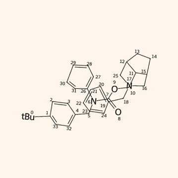 CC(C)(C)c1ccc(CN(C(=O)OCC2C3CCC2CN(Cc2ccccc2)C3)c2ccccc2)cc1